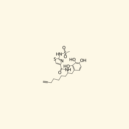 C#CCCCCCC(Cc1ccc(O)c(O)c1O)NC(=O)c1csc(NS(C)(=O)=O)n1